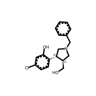 OC[C@@H]1CN(Cc2ccccc2)C[C@H]1c1ccc(Cl)cc1O